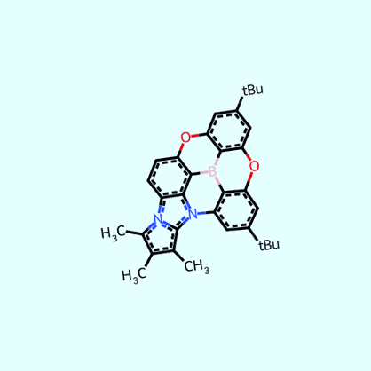 Cc1c(C)c2n3c4c5c(ccc4n2c1C)Oc1cc(C(C)(C)C)cc2c1B5c1c(cc(C(C)(C)C)cc1-3)O2